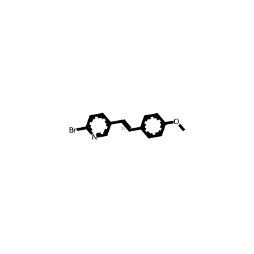 COc1ccc(/C=C/c2ccc(Br)nc2)cc1